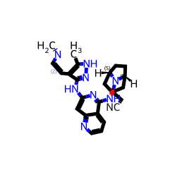 C=N/C=C\c1c(Nc2cc3ncccc3c(N[C@@H]3C[C@H]4CC[C@@H](C3)N4CCC#N)n2)n[nH]c1C